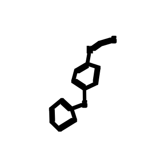 S=C=Nc1ccc(Sc2ccccc2)cc1